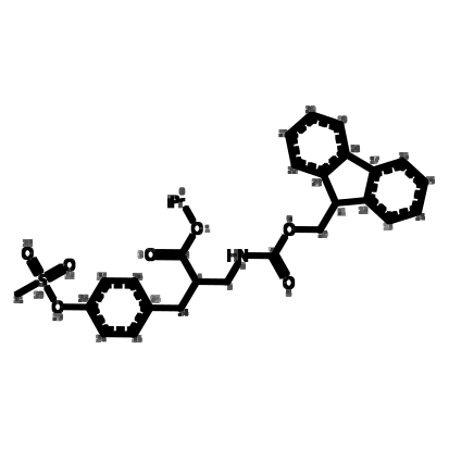 CC(C)OC(=O)C(CNC(=O)OCC1c2ccccc2-c2ccccc21)Cc1ccc(OS(C)(=O)=O)cc1